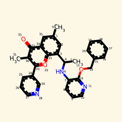 Cc1cc(C(C)Nc2cccnc2OCc2ccccc2)c2oc(-c3cccnc3)c(C)c(=O)c2c1